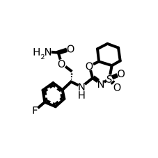 NC(=O)OC[C@H](NC1=NS(=O)(=O)C2CCCCC2O1)c1ccc(F)cc1